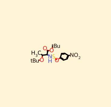 CC(OC(C)(C)C)C(NSOc1ccc([N+](=O)[O-])cc1)C(=O)OC(C)(C)C